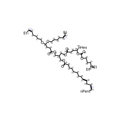 CC/C=C\CCCCOC(CCC(=O)OCC(COC(=O)CCCCCCCC=CC/C=C\CCCCC)COC(=O)CCC(CCCCCC)OC(=O)OCCCN(CC)CC)OCCCC/C=C\CC